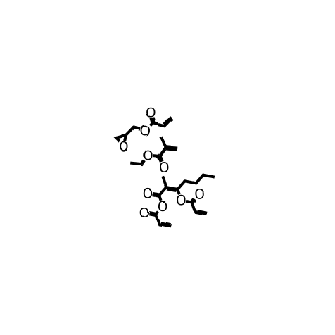 C=C(C)C(=O)OCC.C=CC(=O)OC(=O)C(C)=C(CCCC)OC(=O)C=C.C=CC(=O)OCC1CO1